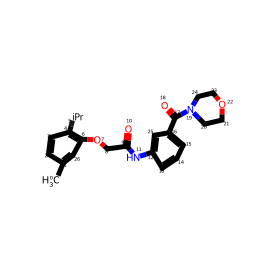 Cc1ccc(C(C)C)c(OCC(=O)Nc2cccc(C(=O)N3CCOCC3)c2)c1